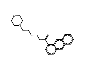 O=C(CCCCCN1CCOCC1)c1cccc2cc3ccccc3cc12